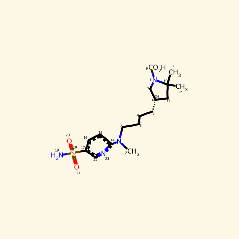 CN(CCCC[C@@H]1CN(C(=O)O)C(C)(C)C1)c1ccc(S(N)(=O)=O)cn1